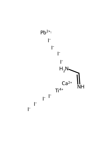 N=CN.[Ca+2].[I-].[I-].[I-].[I-].[I-].[I-].[I-].[I-].[Pb+2].[Ti+4]